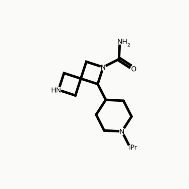 CC(C)N1CCC(C2N(C(N)=O)CC23CNC3)CC1